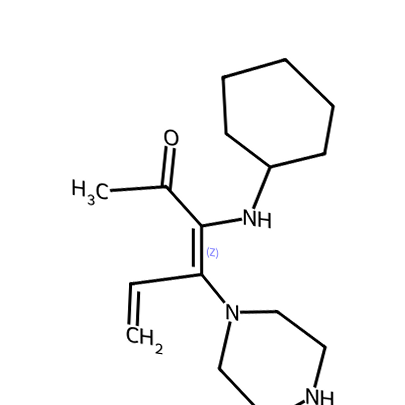 C=C/C(=C(/NC1CCCCC1)C(C)=O)N1CCNCC1